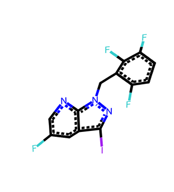 Fc1cnc2c(c1)c(I)nn2Cc1c(F)ccc(F)c1F